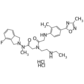 CCNCCN(CC(=O)N(C)N1Cc2cccc(F)c2C1)C(=O)CNc1ccc(-c2nc(C)no2)cc1C.Cl.Cl